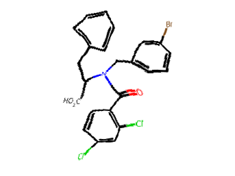 O=C(O)C(Cc1ccccc1)N(Cc1cccc(Br)c1)C(=O)c1ccc(Cl)cc1Cl